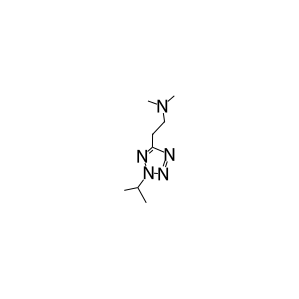 CC(C)n1nnc(CCN(C)C)n1